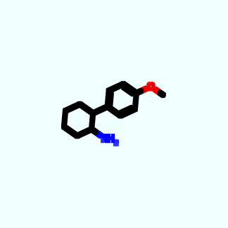 COc1ccc(C2CCCCC2N)cc1